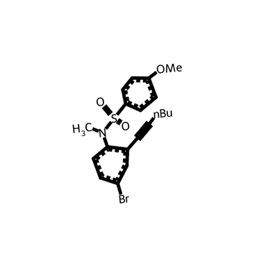 CCCCC#Cc1cc(Br)ccc1N(C)S(=O)(=O)c1ccc(OC)cc1